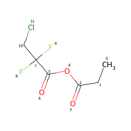 CCC(=O)OC(=O)C(F)(F)CCl